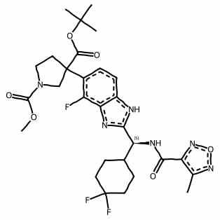 COC(=O)N1CCC(C(=O)OC(C)(C)C)(c2ccc3[nH]c([C@@H](NC(=O)c4nonc4C)C4CCC(F)(F)CC4)nc3c2F)C1